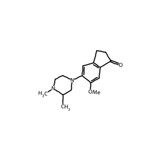 COc1cc2c(cc1N1CCN(C)C(C)C1)CCC2=O